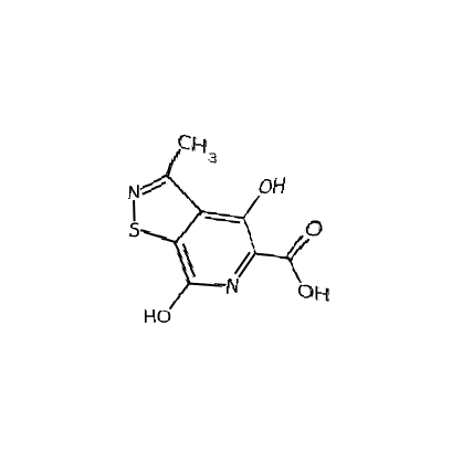 Cc1nsc2c(O)nc(C(=O)O)c(O)c12